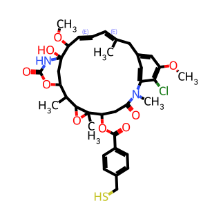 COc1cc2cc(c1Cl)N(C)C(=O)CC(OC(=O)c1ccc(CS)cc1)C1(C)OC1C(C)C1CC(O)(NC(=O)O1)C(OC)/C=C/C=C(\C)C2